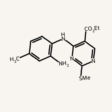 CCOC(=O)c1cnc(SC)nc1Nc1ccc(C)cc1N